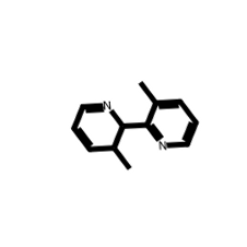 Cc1cccnc1C1N=CC=CC1C